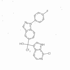 OC(c1ccc2c(cnn2-c2ccc(F)cc2)c1)(c1c[nH]c2c(Cl)nccc12)C(F)(F)F